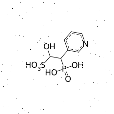 O=P(O)(O)C(c1cccnc1)C(O)S(=O)(=O)O